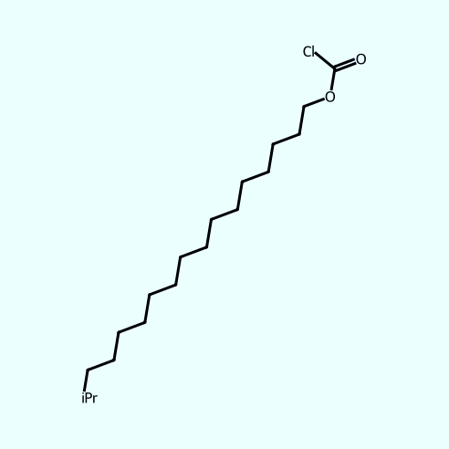 CC(C)CCCCCCCCCCCCCCCOC(=O)Cl